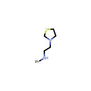 CC(C)NCCN1CCSC1